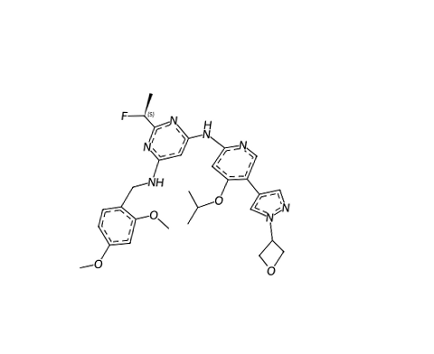 COc1ccc(CNc2cc(Nc3cc(OC(C)C)c(-c4cnn(C5COC5)c4)cn3)nc([C@H](C)F)n2)c(OC)c1